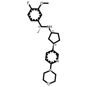 COc1cc([C@@H](C)N[C@H]2CC[C@@H](c3ccc(N4CCOCC4)nc3)C2)ccc1F